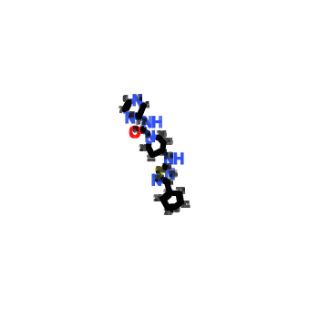 O=C(Nc1cnccn1)N1CCC(Nc2nc(-c3ccccc3)ns2)CC1